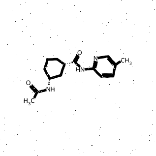 CC(=O)N[C@@H]1CCC[C@H](C(=O)Nc2ccc(C)cn2)C1